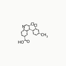 Cc1ccc(-c2c(Cl)cnc3ccc(C(=O)O)cc23)c(Cl)c1